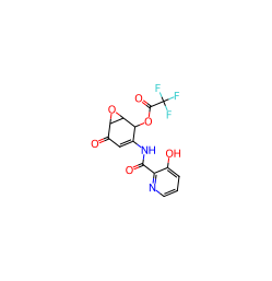 O=C(NC1=CC(=O)C2OC2C1OC(=O)C(F)(F)F)c1ncccc1O